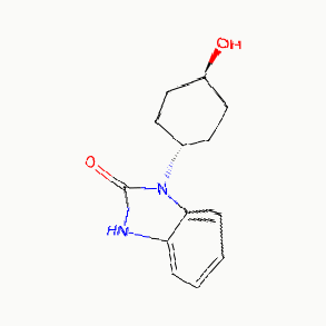 O=c1[nH]c2ccccc2n1[C@H]1CC[C@H](O)CC1